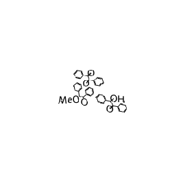 COC(C(=O)c1ccccc1)c1ccccc1.O=C(C(=O)c1ccccc1)c1ccccc1.O=C(c1ccccc1)C(O)c1ccccc1